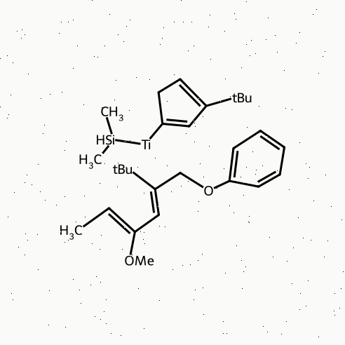 CC=C(C=C(COc1ccccc1)C(C)(C)C)OC.C[SiH](C)[Ti][C]1=CC(C(C)(C)C)=CC1